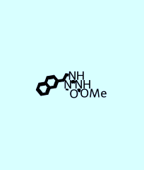 COC(=O)NC1NCC(c2ccc3ccccc3c2)N1C